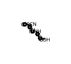 N#Cc1cc(-c2nccc(Nc3ccc(N4CCO[C@@H](CO)C4)cc3)n2)ccc1OC1CCOCC1